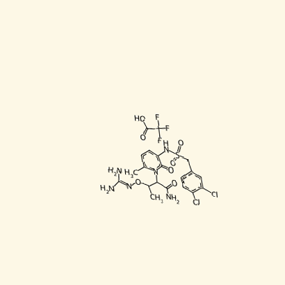 Cc1ccc(NS(=O)(=O)Cc2ccc(Cl)c(Cl)c2)c(=O)n1C(C(N)=O)C(C)ON=C(N)N.O=C(O)C(F)(F)F